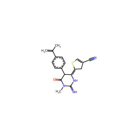 C=C(C)c1ccc(C2C(=O)N(C)C(=N)N/C2=C2\CC(C#N)=CS2)cc1